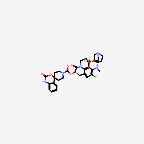 CNc1c(Cl)cc(C[C@@H](OC(=O)N2CCC3(CC2)OC(=O)Nc2ccccc23)C(=O)N2CCN(C3CN4CCC3CC4)CC2)cc1C(F)(F)F